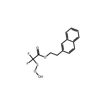 O=C(OCCc1ccc2ccccc2c1)C(F)(F)SOO